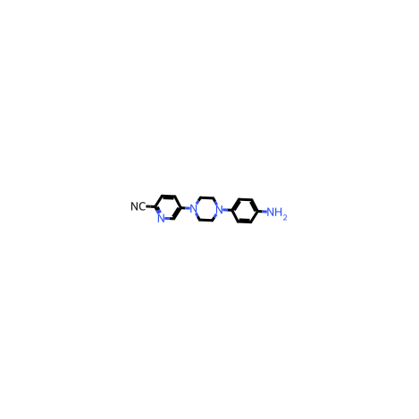 N#Cc1ccc(N2CCN(c3ccc(N)cc3)CC2)cn1